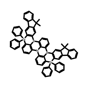 CC1(C)c2ccccc2-c2cc3c(cc21)B1c2cccc4c2N(c2cccc(c21)[Si]3(c1ccccc1)c1ccccc1)c1cccc2c1B4c1cc3c(cc1[Si]2(c1ccccc1)c1ccccc1)-c1ccccc1C3(C)C